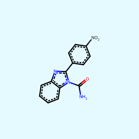 NC(=O)n1c(-c2ccc([N+](=O)[O-])cc2)nc2ccccc21